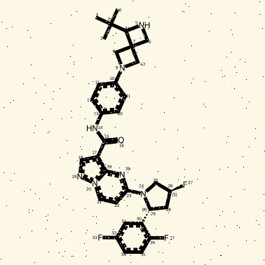 CC(C)(C)C1NCC12CN(c1ccc(NC(=O)c3cnn4ccc(N5C[C@@H](F)C[C@@H]5c5cc(F)ccc5F)nc34)cc1)C2